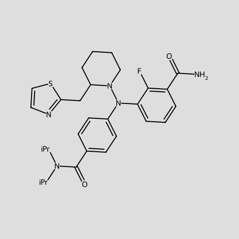 CC(C)N(C(=O)c1ccc(N(c2cccc(C(N)=O)c2F)N2CCCCC2Cc2nccs2)cc1)C(C)C